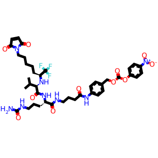 CC(C)[C@H](N[C@@H](CCCCCN1C(=O)C=CC1=O)C(F)(F)F)C(=O)N[C@@H](CCCNC(N)=O)C(=O)NCCCC(=O)Nc1ccc(COC(=O)Oc2ccc([N+](=O)[O-])cc2)cc1